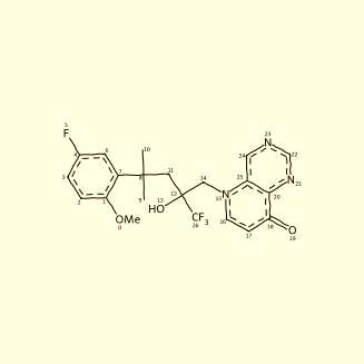 COc1ccc(F)cc1C(C)(C)CC(O)(Cn1ccc(=O)c2ncncc21)C(F)(F)F